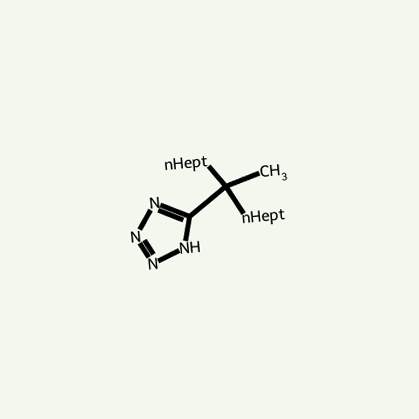 CCCCCCCC(C)(CCCCCCC)c1nnn[nH]1